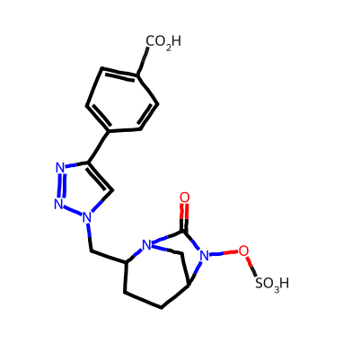 O=C(O)c1ccc(-c2cn(CC3CCC4CN3C(=O)N4OS(=O)(=O)O)nn2)cc1